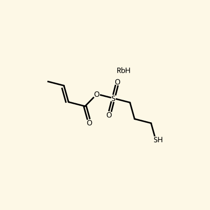 CC=CC(=O)OS(=O)(=O)CCCS.[RbH]